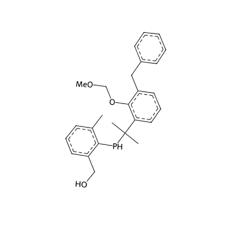 COCOc1c(Cc2ccccc2)cccc1C(C)(C)Pc1c(C)cccc1CO